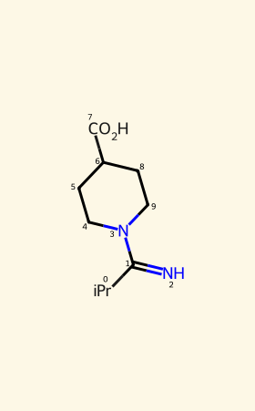 CC(C)C(=N)N1CCC(C(=O)O)CC1